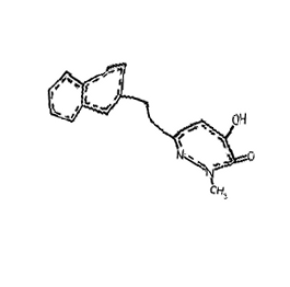 Cn1nc(CCc2ccc3ccccc3c2)cc(O)c1=O